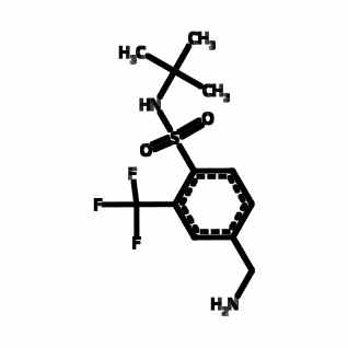 CC(C)(C)NS(=O)(=O)c1ccc(CN)cc1C(F)(F)F